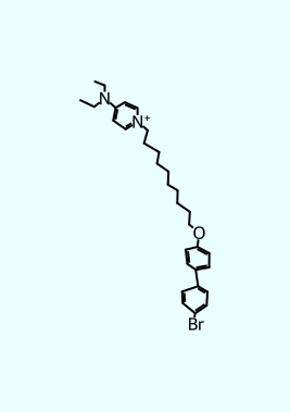 CCN(CC)c1cc[n+](CCCCCCCCCCOc2ccc(-c3ccc(Br)cc3)cc2)cc1